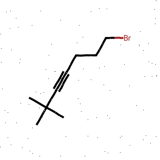 CC(C)(C)C#CCCCBr